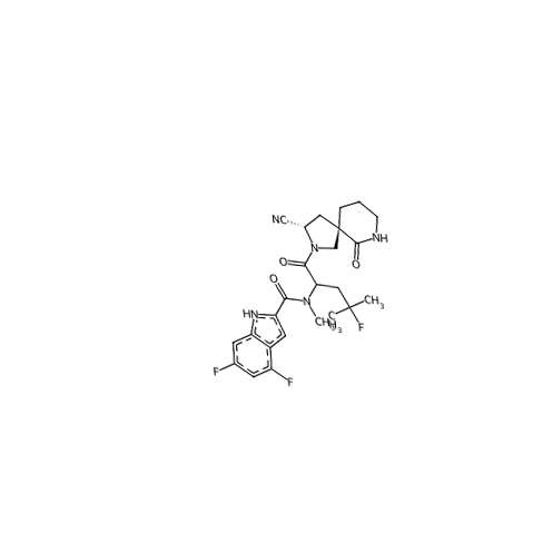 CN(C(=O)c1cc2c(F)cc(F)cc2[nH]1)C(CC(C)(C)F)C(=O)N1C[C@]2(CCCNC2=O)C[C@H]1C#N